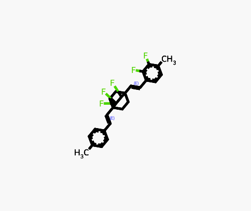 Cc1ccc(/C=C/C23CCC(/C=C/c4ccc(C)c(F)c4F)(CC2)C(F)C3(F)F)cc1